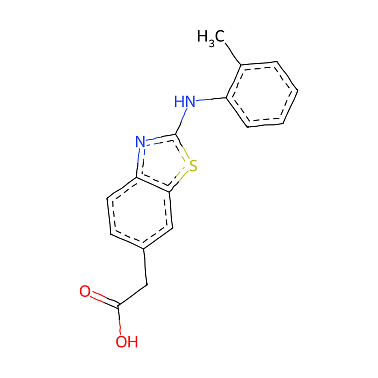 Cc1ccccc1Nc1nc2ccc(CC(=O)O)cc2s1